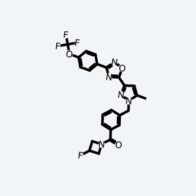 Cc1cc(-c2nc(-c3ccc(OC(F)(F)F)cc3)no2)nn1Cc1cccc(C(=O)N2CC(F)C2)c1